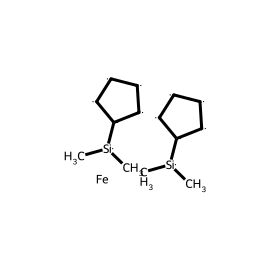 C[Si](C)[C]1[CH][CH][CH][CH]1.C[Si](C)[C]1[CH][CH][CH][CH]1.[Fe]